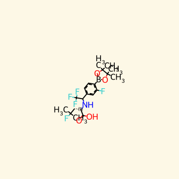 CC(C)(F)C[C@H](NC(c1ccc(B2OC(C)(C)C(C)(C)O2)c(F)c1)C(F)(F)F)C(=O)O